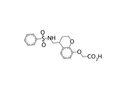 O=C(O)COc1cccc2c1OCCC2CNS(=O)(=O)c1ccccc1